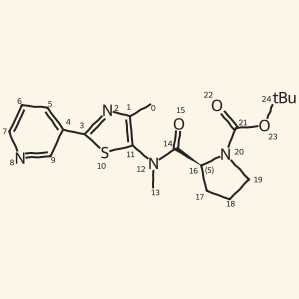 Cc1nc(-c2cccnc2)sc1N(C)C(=O)[C@@H]1CCCN1C(=O)OC(C)(C)C